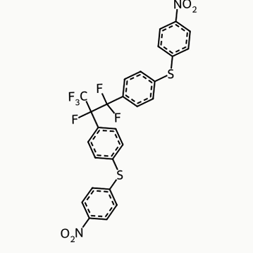 O=[N+]([O-])c1ccc(Sc2ccc(C(F)(F)C(F)(c3ccc(Sc4ccc([N+](=O)[O-])cc4)cc3)C(F)(F)F)cc2)cc1